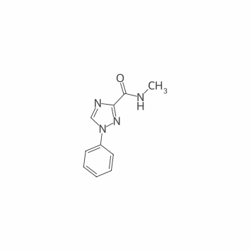 CNC(=O)c1ncn(-c2ccccc2)n1